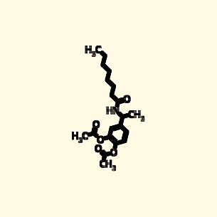 CCCCCCCC(=O)NC(C)c1ccc(OC(C)=O)c(OC(C)=O)c1